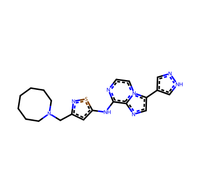 c1cn2c(-c3cn[nH]c3)cnc2c(Nc2cc(CN3CCCCCCC3)ns2)n1